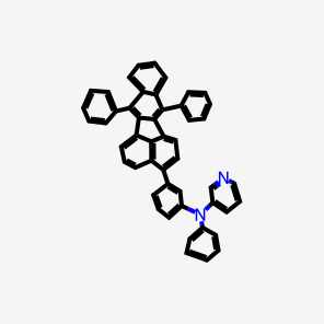 c1ccc(-c2c3c(c(-c4ccccc4)c4ccccc24)-c2ccc(-c4cccc(N(c5ccccc5)c5cccnc5)c4)c4cccc-3c24)cc1